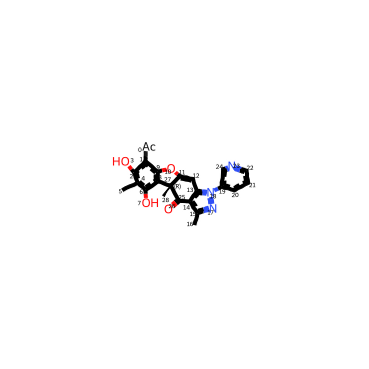 CC(=O)c1c(O)c(C)c(O)c2c1OC1=Cc3c(c(C)nn3-c3cccnc3)C(=O)[C@@]12C